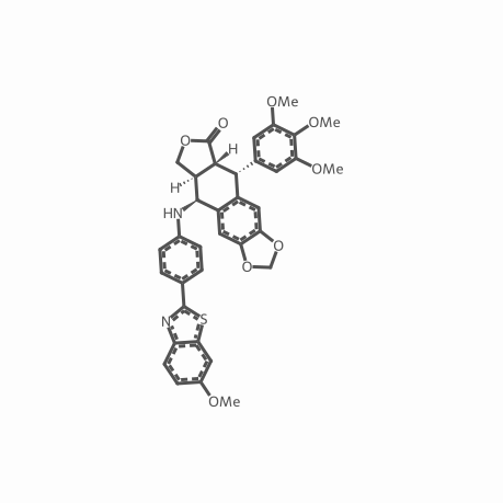 COc1ccc2nc(-c3ccc(N[C@@H]4c5cc6c(cc5[C@@H](c5cc(OC)c(OC)c(OC)c5)[C@H]5C(=O)OC[C@@H]54)OCO6)cc3)sc2c1